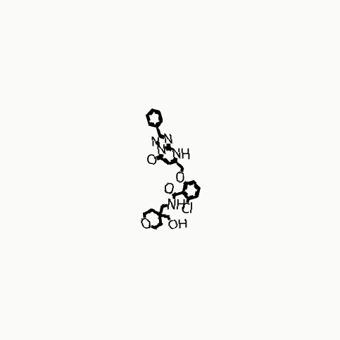 O=C(NCC1(CO)CCOCC1)c1c(Cl)cccc1OCc1cc(=O)n2nc(-c3ccccc3)nc2[nH]1